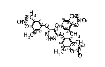 Cc1cc(Oc2nnnc(Oc3cc(C)c(O[N+](=O)[O-])c(C)c3)c2Oc2cc(C)c(O[N+](=O)[O-])c(C)c2)cc(C)c1O[N+](=O)[O-]